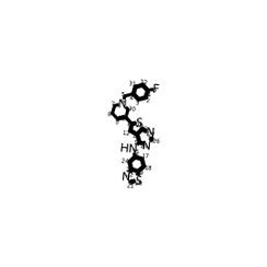 Fc1ccc(CN2CCC=C(c3cc4c(Nc5ccc6scnc6c5)ncnc4s3)C2)cc1